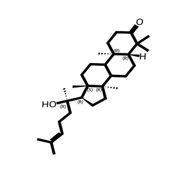 CC(C)=CCC[C@@](C)(O)[C@@H]1CC[C@]2(C)C3CC[C@H]4C(C)(C)C(=O)CC[C@]4(C)C3CC[C@@]12C